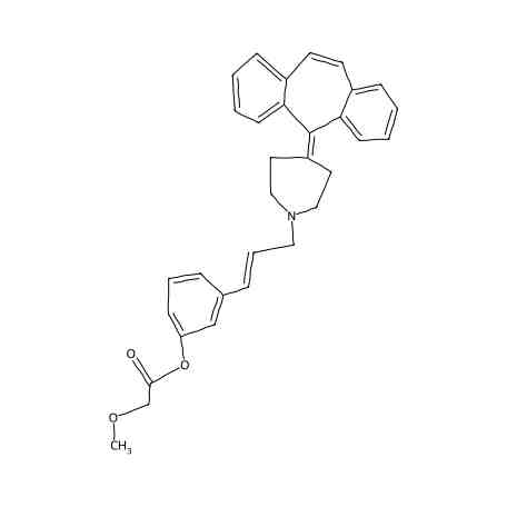 COCC(=O)Oc1cccc(/C=C/CN2CCC(=C3c4ccccc4C=Cc4ccccc43)CC2)c1